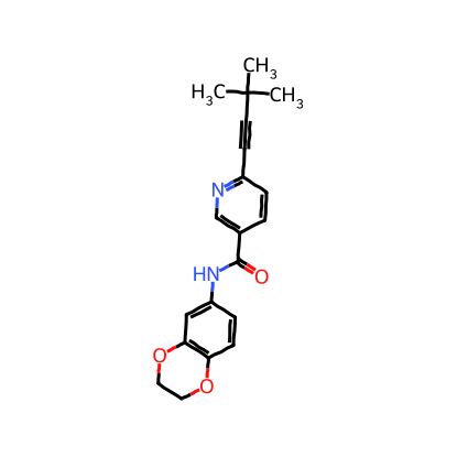 CC(C)(C)C#Cc1ccc(C(=O)Nc2ccc3c(c2)OCCO3)cn1